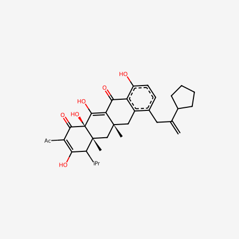 C=C(Cc1ccc(O)c2c1C[C@]1(C)C[C@]3(C)C(C(C)C)C(O)=C(C(C)=O)C(=O)[C@]3(O)C(O)=C1C2=O)C1CCCC1